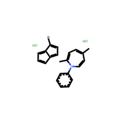 CC1=CC=C(C)N(c2ccccc2)C=C1.Cl.Cl.[Zr][C]1=CC=C2C=CC=C12